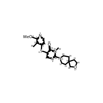 COc1nccc(Sc2cnc(N3CCC4(CCOC4)CC3)n(C)c2=O)c1C